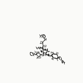 CC(C)Oc1ccc(Nc2cnc(NCCCO)nc2Cc2ccc(Cl)cc2)cc1